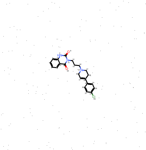 O=c1[nH]c2ccccc2c(=O)n1CCCN1CC=C(c2ccc(Cl)cc2)CC1